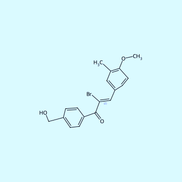 COc1ccc(/C=C(\Br)C(=O)c2ccc(CO)cc2)cc1C